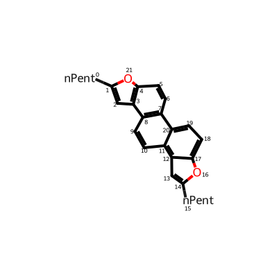 CCCCCc1cc2c(ccc3c2ccc2c4cc(CCCCC)oc4ccc23)o1